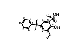 CCc1cc(C(C)(C)c2ccccc2)cc(S(=O)(=O)O)c1O